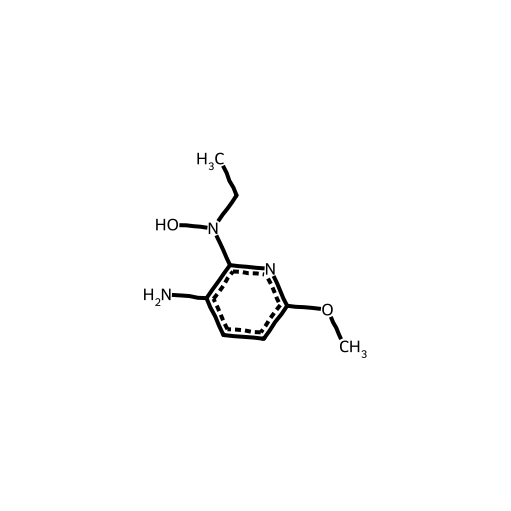 CCN(O)c1nc(OC)ccc1N